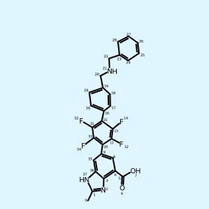 Cc1nc2c(C(=O)O)cc(-c3c(F)c(F)c(-c4ccc(CNCc5ccccc5)cc4)c(F)c3F)cc2[nH]1